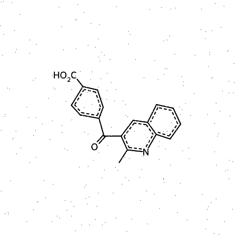 Cc1nc2ccccc2cc1C(=O)c1ccc(C(=O)O)cc1